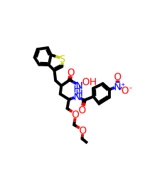 CCOCOCC(CC(Cc1csc2ccccc12)C(=O)NO)NC(=O)c1ccc([N+](=O)[O-])cc1